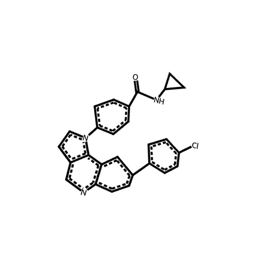 O=C(NC1CC1)c1ccc(-n2ccc3cnc4ccc(-c5ccc(Cl)cc5)cc4c32)cc1